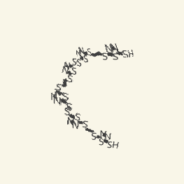 Sc1nnc(SCCSc2nnc(SSc3nnc(SCCSc4nnc(SSc5nnc(SCCSc6nnc(S)s6)s5)s4)s3)s2)s1